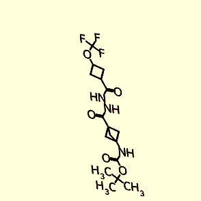 CC(C)(C)OC(=O)NC12CC(C(=O)NNC(=O)C3CC(OC(F)(F)F)C3)(C1)C2